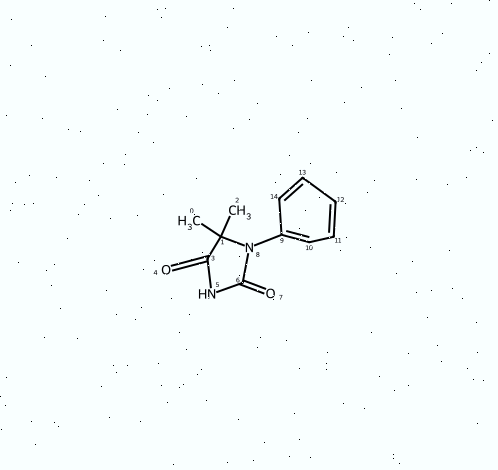 CC1(C)C(=O)NC(=O)N1c1ccccc1